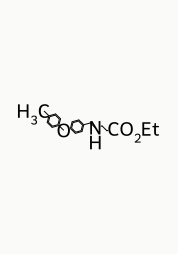 CCOC(=O)CCNCc1ccc(Oc2ccc(C)cc2)cc1